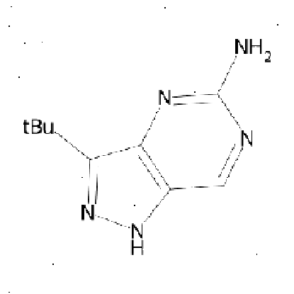 CC(C)(C)c1n[nH]c2cnc(N)nc12